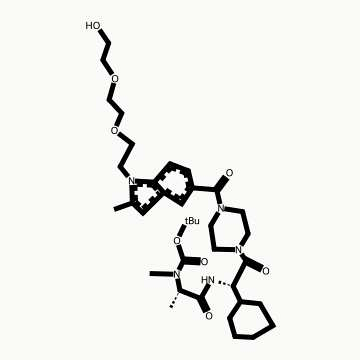 Cc1cc2cc(C(=O)N3CCN(C(=O)[C@@H](NC(=O)[C@H](C)N(C)C(=O)OC(C)(C)C)C4CCCCC4)CC3)ccc2n1CCOCCOCCO